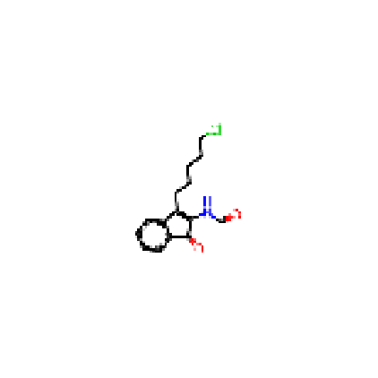 O=CNC1=C(CCCCCCl)c2ccccc2C1=O